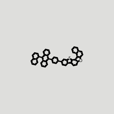 c1ccc2c(-c3c4ccccc4c(-c4ccc(-c5ccc6c(c5)sc5c6ccc6oc7ccc8ccccc8c7c65)cc4)c4ccccc34)cccc2c1